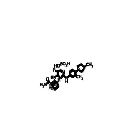 Cc1cc(Nc2ncc(F)c(N[C@H]3[C@@H](C(N)=O)[C@@H]4C=C[C@H]3C4)n2)ccc1N1CCN(C)CC1.O=S(=O)(O)O